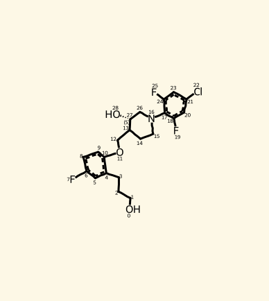 OCCCc1cc(F)ccc1OCC1CCN(c2c(F)cc(Cl)cc2F)C[C@H]1O